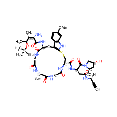 C#CCNC(=O)C[C@@H](NC(=O)[C@H]1CSc2[nH]c3cc(OC)ccc3c2C[C@@H](NC(=O)[C@@H](N)[C@@H](C)C(C)O[Si](C)(C)C(C)(C)C)C(=O)NCC(=O)N[C@@H]([C@@H](C)CC)C(=O)NCC(=O)N1)C(=O)N1C[C@H](O)C[C@H]1C(=O)O